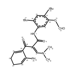 CN(C)/C=C(\C(=O)Nc1cc(OC=O)c(C(C)(C)C)cc1C(C)(C)C)C(=O)C1=CCCC=C1P